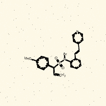 C=CC(c1ccc(OC)cc1)S(=O)(=O)N(C(C)=O)c1ccccc1C=Cc1ccncc1